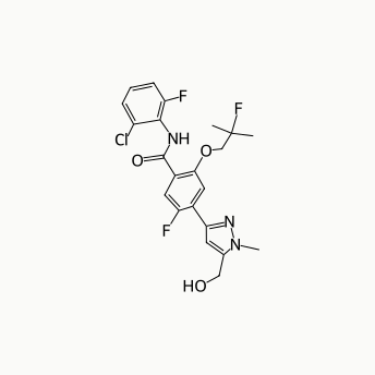 Cn1nc(-c2cc(OCC(C)(C)F)c(C(=O)Nc3c(F)cccc3Cl)cc2F)cc1CO